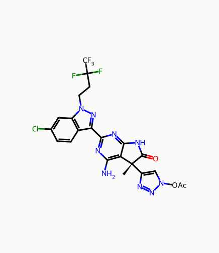 CC(=O)On1cc([C@@]2(C)C(=O)Nc3nc(-c4nn(CCC(F)(F)C(F)(F)F)c5cc(Cl)ccc45)nc(N)c32)nn1